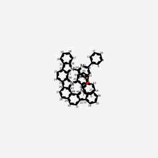 c1ccc(-c2cc(-c3ccccc3)nc(-n3c4ccccc4c4ccc5c6ccc7ccc8c9ccccc9n9c%10ccccc%10n(c6c7c89)c5c43)n2)cc1